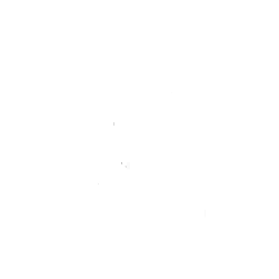 CCC(=O)NC1=C(CCCCl)c2ccccc2C1=O